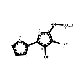 CCOC(=O)Nc1oc(-c2cccs2)c(O)c1OC(C)=O